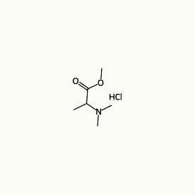 COC(=O)C(C)N(C)C.Cl